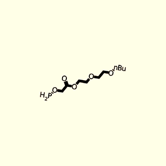 CCCCOCCOCCOC(=O)COP